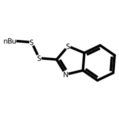 CCCCSSc1nc2ccccc2s1